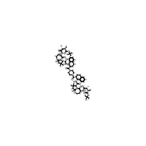 C[C@@H](C(=S)N[C@H]1CCS[C@H]2CC(C)(C)[C@@H](C(=O)N[C@H]3c4ccccc4CC[C@H]3C(=O)N3CCN(C(=O)[C@@H]4CCc5ccccc5[C@@H]4NC(=O)[C@H]4N5C(=O)[C@@H](NC(=S)[C@H](C)N(C)C(=O)OC(C)(C)C)CCS[C@H]5CC4(C)C)CC3)N2C1=O)N(C)C(=O)OC(C)(C)C